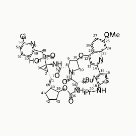 C=C[C@@H]1C[C@]1(NC(=O)[C@@H]1C[C@@H](Oc2cc(-c3csc(NC(C)C)n3)nc3cc(OC)ccc23)CN1C(=O)[C@@H](NC(=O)OC1CCCC1)C(C)(C)C)P(=O)(O)Cc1cccc(Cl)n1